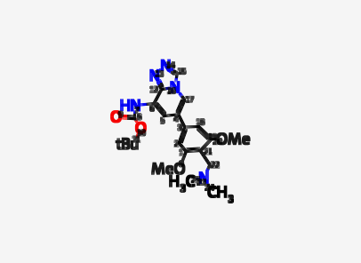 COc1cc(-c2cc(NC(=O)OC(C)(C)C)c3nncn3c2)cc(OC)c1CN(C)C